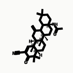 C=C1C[C@@H]2[C@@]3(C)C=C(C#N)C(=O)C(C)(C)[C@@H]3CC[C@@]2(C)[C@]2(C)CC[C@@]3(NC(C)=O)CCC(C)(C)CC3C12